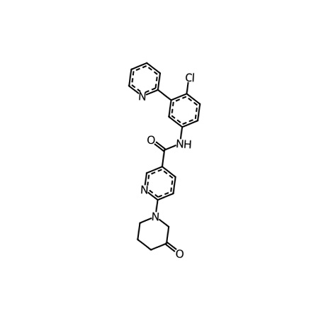 O=C1CCCN(c2ccc(C(=O)Nc3ccc(Cl)c(-c4ccccn4)c3)cn2)C1